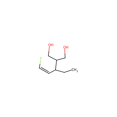 CCC(/C=C\F)C(CO)CO